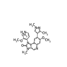 CO/C(C)=C(/C=C\N)n1c(=O)n(C)c2cnc3cc(OC)c(-c4cn(C)nc4C)cc3c21